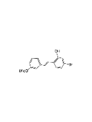 COc1cccc(/C=C/c2ccc(Br)cc2O)c1